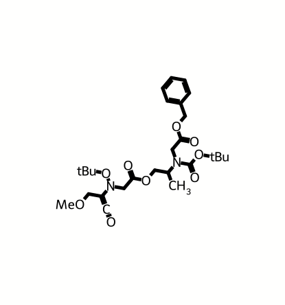 COCC(=C=O)N(CC(=O)OCC(C)N(CC(=O)OCc1ccccc1)C(=O)OC(C)(C)C)OC(C)(C)C